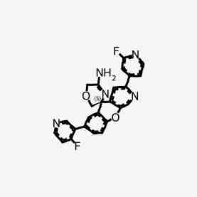 NC1=N[C@@]2(COC1)c1cc(-c3cnccc3F)ccc1Oc1cnc(-c3ccnc(F)c3)cc12